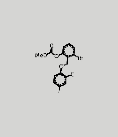 COC(=O)Oc1cccc(Br)c1COc1ccc(C)cc1Cl